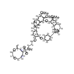 C=C1/C=C(S(=O)(=O)NCCCOc2ccc3cc2Oc2ccc(cc2)C[C@H]2c4cc(c(OC)cc4CCN2C)Oc2c(OC)c(OC)cc4c2[C@@H](C3)N(C)CC4)\C=C/COCCO1